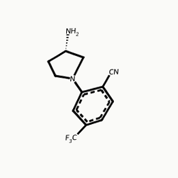 N#Cc1ccc(C(F)(F)F)cc1N1CC[C@H](N)C1